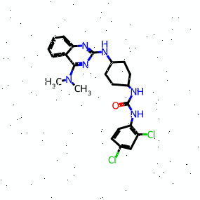 CN(C)c1nc(NC2CCC(NC(=O)Nc3ccc(Cl)cc3Cl)CC2)nc2ccccc12